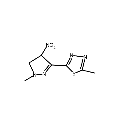 Cc1nnc(C2=NN(C)CC2[N+](=O)[O-])s1